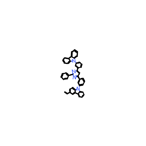 C=Cc1ccc2c(c1)c1ccccc1n2-c1cccc(-c2cc(-c3cccc(-n4c5ccccc5c5ccccc54)c3)nc(-c3ccccc3)n2)c1